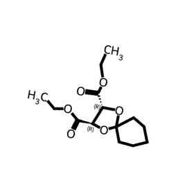 CCOC(=O)[C@@H]1OC2(CCCCC2)O[C@H]1C(=O)OCC